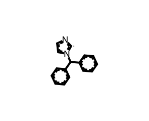 [c]1nccn1C(c1ccccc1)c1ccccc1